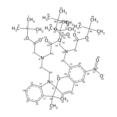 CC(C)(C)OC(=O)CN(CCN1c2ccccc2C(C)(C)C12C=Cc1cc([N+](=O)[O-])cc(CN(CC(=O)OC(C)(C)C)CC(=O)OC(C)(C)C)c1O2)CC(=O)OC(C)(C)C